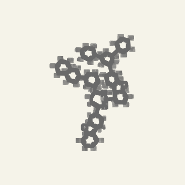 C1=C(c2ccc3c(c2)oc2ccccc23)N=C(c2cccc3oc4cc(-c5cc(-c6ccccc6)cc(-c6ccccc6)c5)ccc4c23)N=C(c2cccc(-c3ccc4ccccc4c3)c2)C1